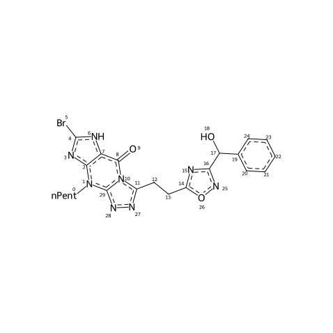 CCCCCn1c2nc(Br)[nH]c2c(=O)n2c(CCc3nc(C(O)c4ccccc4)no3)nnc12